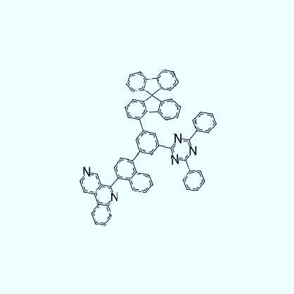 c1ccc(-c2nc(-c3ccccc3)nc(-c3cc(-c4cccc5c4-c4ccccc4C54c5ccccc5-c5ccccc54)cc(-c4ccc(-c5nc6ccccc6c6ccncc56)c5ccccc45)c3)n2)cc1